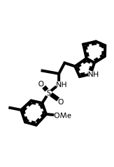 COc1ccc(C)cc1S(=O)(=O)NC(C)Cc1c[nH]c2ccccc12